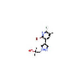 Cc1cc(-c2cnn(CC(C)(C)O)c2)c(Br)nc1Cl